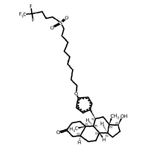 C[C@]12CCC(=O)C[C@@H]1CC[C@@H]1[C@@H]2[C@@H](c2ccc(OCCCCCCCCCS(=O)(=O)CCCC(F)(F)C(F)(F)F)cc2)C[C@]2(C)[C@@H](O)CC[C@@H]12